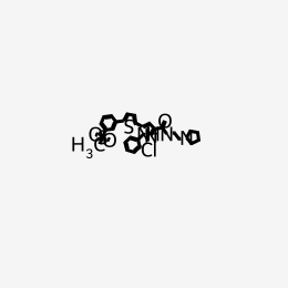 CS(=O)(=O)c1cccc(-c2ccc(-c3cc(C(=O)NCCN4CCCC4)nn3-c3ccccc3Cl)s2)c1